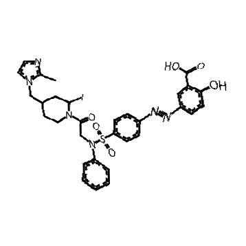 Cc1nccn1CC1CCN(C(=O)CN(c2ccccc2)S(=O)(=O)c2ccc(N=Nc3ccc(O)c(C(=O)O)c3)cc2)C(I)C1